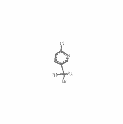 [2H]C([2H])(Br)c1ccc(Cl)nc1